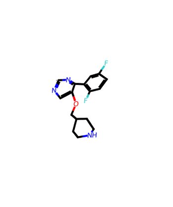 Fc1ccc(F)c(-c2n[c]ncc2OCC2CCNCC2)c1